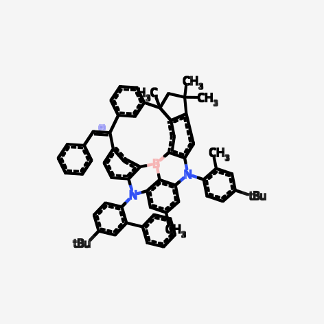 Cc1cc2c3c(c1)N(c1ccc(C(C)(C)C)cc1-c1ccccc1)c1ccc4cc1B3c1cc3c(cc1N2c1ccc(C(C)(C)C)cc1C)C(C)(C)CC3(C)c1cccc(c1)/C4=C/c1ccccc1